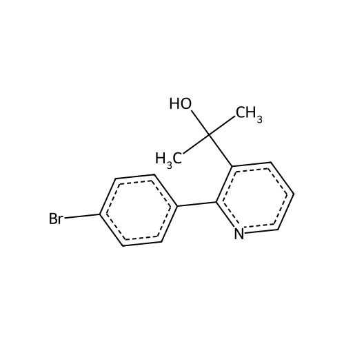 CC(C)(O)c1cccnc1-c1ccc(Br)cc1